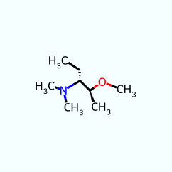 CC[C@H]([C@H](C)OC)N(C)C